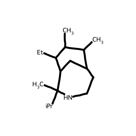 CCC1C(C)C(C)C2CCNC(C)(C(C)C)C1C2